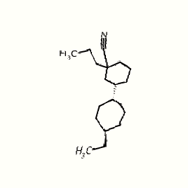 CCCC1(C#N)CCCC([C@H]2CC[C@H](CC)CC2)C1